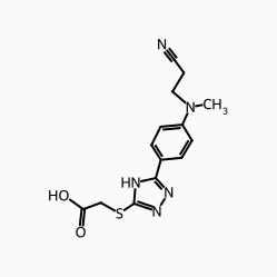 CN(CCC#N)c1ccc(-c2nnc(SCC(=O)O)[nH]2)cc1